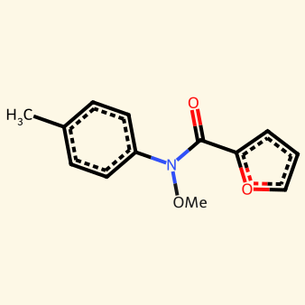 CON(C(=O)c1ccco1)c1ccc(C)cc1